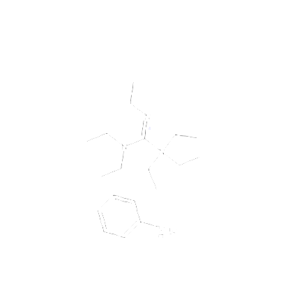 CC/N=C(\N(CC)CC)[N+](CC)(CC)CC.Oc1ccccc1.[Br-]